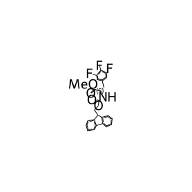 COC(=O)[C@H](Cc1cc(F)c(F)c(F)c1)NC(=O)OCC1c2ccccc2-c2ccccc21